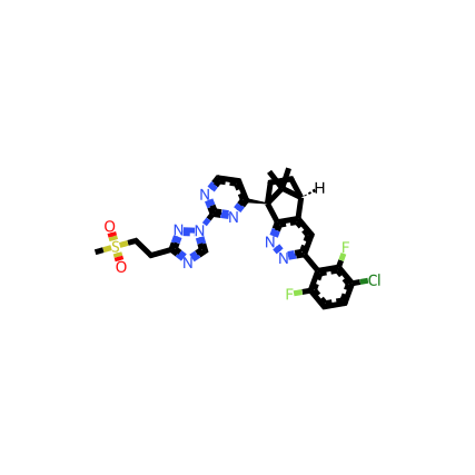 CC1(C)[C@H]2CC[C@@]1(c1ccnc(-n3cnc(CCS(C)(=O)=O)n3)n1)c1nnc(-c3c(F)ccc(Cl)c3F)cc12